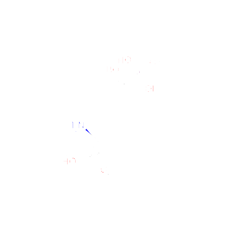 N[C@@H](CC1=CCC(O)(P(=O)(O)O)C=C1)C(=O)O